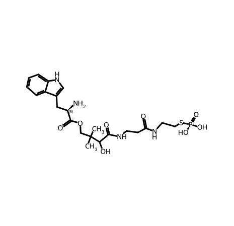 CC(C)(COC(=O)[C@H](N)Cc1c[nH]c2ccccc12)C(O)C(=O)NCCC(=O)NCCSP(=O)(O)O